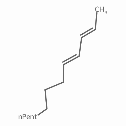 C/C=C/C=C/CCCCCCCC